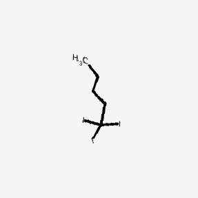 CCCCC(I)(I)I